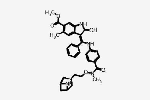 COC(=O)c1cc2c(cc1C)/C(=C(/Nc1ccc(C(=O)N(C)OCCN3CC4CC(C3)N4)cc1)c1ccccc1)C(O)N2